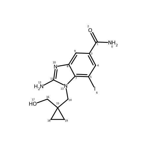 NC(=O)c1cc(I)c2c(c1)nc(N)n2CC1(CO)CC1